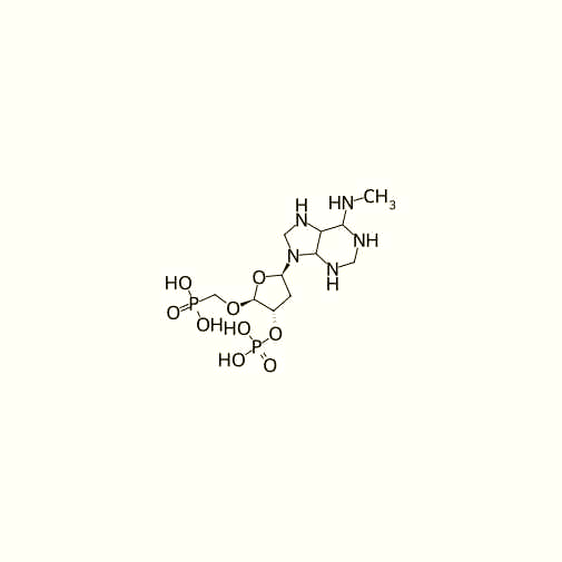 CNC1NCNC2C1NCN2[C@H]1C[C@H](OP(=O)(O)O)[C@@H](OCP(=O)(O)O)O1